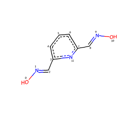 O/N=C/c1cccc(/C=N/O)n1